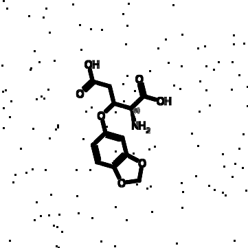 N[C@H](C(=O)O)C(CC(=O)O)Oc1ccc2c(c1)OCO2